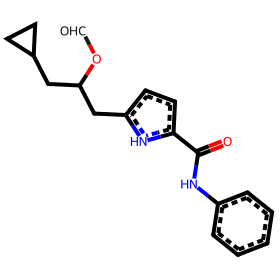 O=COC(Cc1ccc(C(=O)Nc2ccccc2)[nH]1)CC1CC1